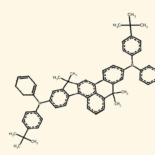 CC(C)(C)c1ccc(N(C2=CC=CCC2)c2ccc3c(c2)C(C)(C)c2cc4c5c(cccc5c2-3)C(C)(C)c2cc(N(c3ccccc3)c3ccc(C(C)(C)C)cc3)ccc2-4)cc1